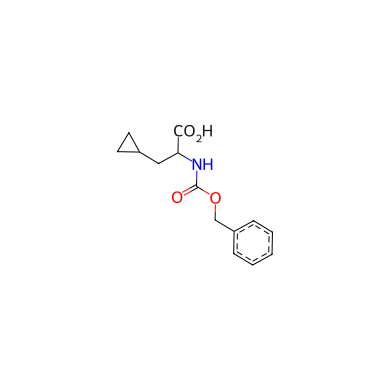 O=C(NC(CC1CC1)C(=O)O)OCc1ccccc1